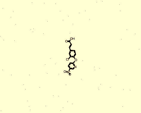 O=C(O)/C=C/c1ccc(Oc2ccc([N+](=O)[O-])cn2)c(Cl)c1